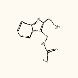 O=C(O)NCc1c(CO)nc2ccccn12